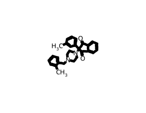 Cc1cccc(C2(N3CCN(Cc4ccccc4C)CC3)C(=O)c3ccccc3C2=O)c1